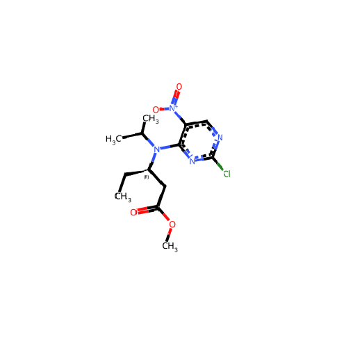 CC[C@H](CC(=O)OC)N(c1nc(Cl)ncc1[N+](=O)[O-])C(C)C